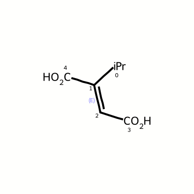 CC(C)/C(=C\C(=O)O)C(=O)O